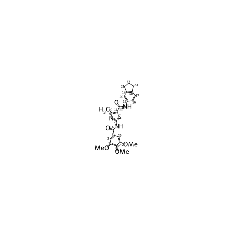 COc1cc(C(=O)Nc2nc(C)c(C(=O)Nc3ccc4c(c3)CCC4)s2)cc(OC)c1OC